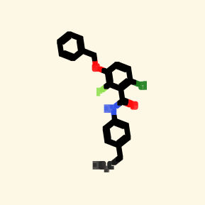 O=C(O)Cc1ccc(NC(=O)c2c(Cl)ccc(OCc3ccccc3)c2F)cc1